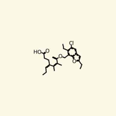 C=C(OCc1c(CC)c(Cl)cc2cc(CC)oc12)/C(C)=C(C)\C(=C/CC)CCC(=O)O